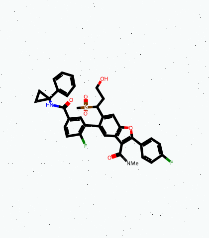 CNC(=O)c1c(-c2ccc(F)cc2)oc2cc(C(CCO)S(C)(=O)=O)c(-c3cc(C(=O)NC4(c5ccccc5)CC4)ccc3F)cc12